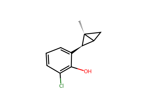 C[C@]12CC1[C@H]2c1cccc(Cl)c1O